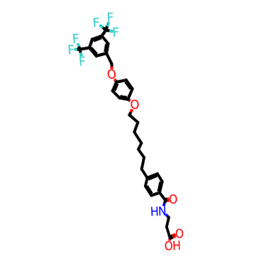 O=C(O)CCNC(=O)c1ccc(CCCCCCCOc2ccc(OCc3cc(C(F)(F)F)cc(C(F)(F)F)c3)cc2)cc1